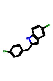 Clc1ccc(Cc2cc3cc(Cl)ccc3[nH]2)cc1